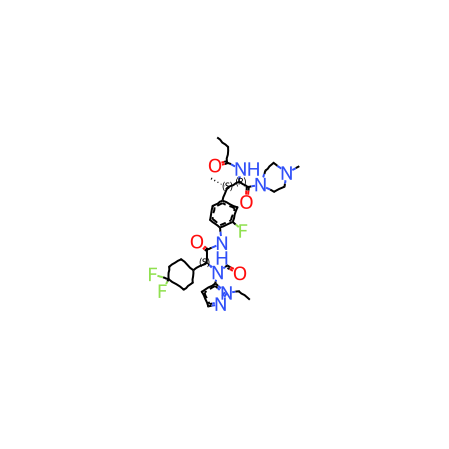 CCC(=O)N[C@@H](C(=O)N1CCN(C)CC1)[C@@H](C)c1ccc(NC(=O)[C@H](C2CCC(F)(F)CC2)N(C=O)c2ccnn2CC)c(F)c1